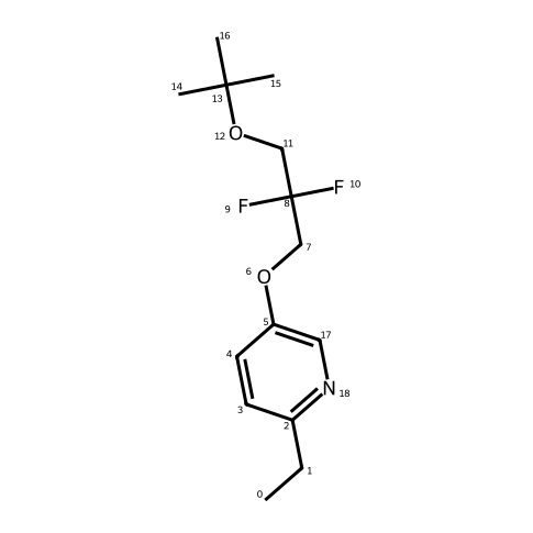 CCc1ccc(OCC(F)(F)COC(C)(C)C)cn1